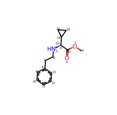 COC(=O)[C@@H](NCCc1ccccc1)C1CC1